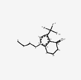 CCCCn1nc(C(F)(F)F)c2c1CCCC2=O